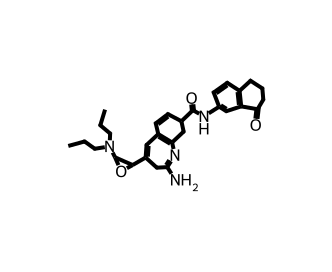 CCCN(CCC)C1OC1C1=CC2=C(CC(C(=O)Nc3ccc4c(c3)C(=O)CCC4)C=C2)N=C(N)C1